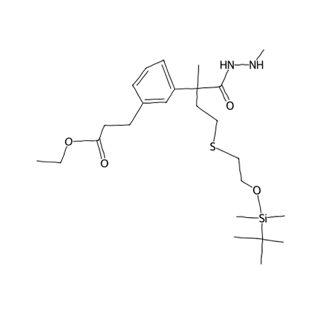 CCOC(=O)CCc1cccc(C(C)(CCSCCO[Si](C)(C)C(C)(C)C)C(=O)NNC)c1